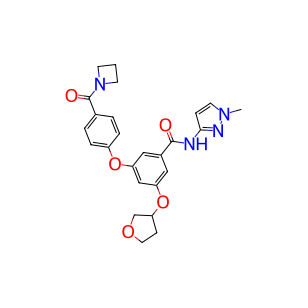 Cn1ccc(NC(=O)c2cc(Oc3ccc(C(=O)N4CCC4)cc3)cc(OC3CCOC3)c2)n1